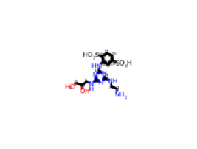 NCCNc1nc(NCC(O)CO)nc(Nc2cc(S(=O)(=O)O)ccc2S(=O)(=O)O)n1